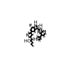 CCCC(O)Nc1cncc(-c2cc(F)c3[nH]nc(-c4nc5c(-c6ccsc6)ccnc5[nH]4)c3c2)c1